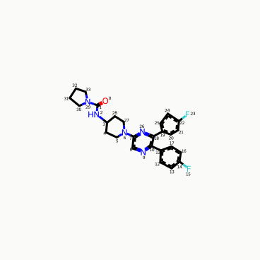 O=C(NC1CCN(c2cnc(-c3ccc(F)cc3)c(-c3ccc(F)cc3)n2)CC1)N1CCCC1